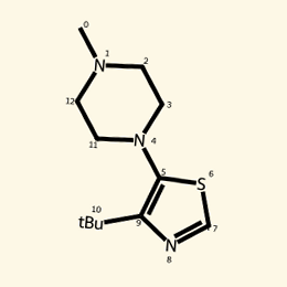 CN1CCN(c2s[c]nc2C(C)(C)C)CC1